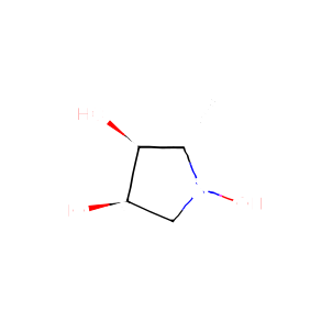 C[C@H]1[C@H](O)[C@H](O)CN1O